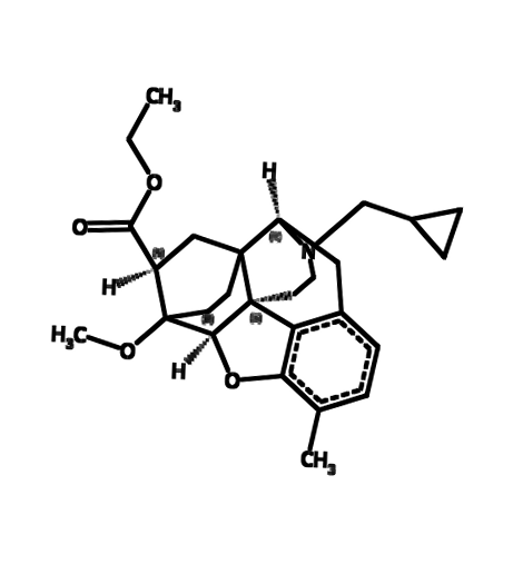 CCOC(=O)[C@H]1CC23CCC1(OC)[C@@H]1Oc4c(C)ccc5c4[C@@]12CCN(CC1CC1)[C@@H]3C5